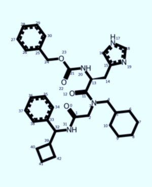 O=C(CN(CC1CCCCC1)C(=O)[C@H](Cc1c[nH]cn1)NC(=O)OCc1ccccc1)NC(c1ccccc1)C1CCC1